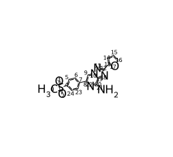 CS(=O)(=O)c1ccc(-c2cn3nc(-c4ccco4)nc3c(N)n2)cc1